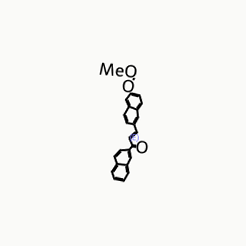 COCOc1ccc2cc(/C=C/C(=O)c3ccc4ccccc4c3)ccc2c1